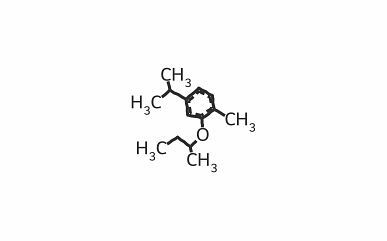 CCC(C)Oc1cc(C(C)C)ccc1C